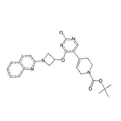 CC(C)(C)OC(=O)N1CC=C(c2cnc(Cl)nc2OC2CN(c3ccc4ccccc4n3)C2)CC1